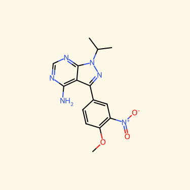 COc1ccc(-c2nn(C(C)C)c3ncnc(N)c23)cc1[N+](=O)[O-]